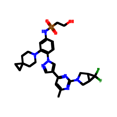 Cc1cc(-c2cnn(-c3ccc(NS(=O)(=O)CCO)cc3N3CCC4(CC3)CC4)c2)nc(N2CC3C(C2)C3(F)F)n1